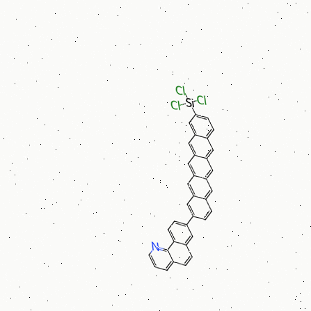 Cl[Si](Cl)(Cl)c1ccc2cc3cc4cc5ccc(-c6ccc7c(ccc8cccnc87)c6)cc5cc4cc3cc2c1